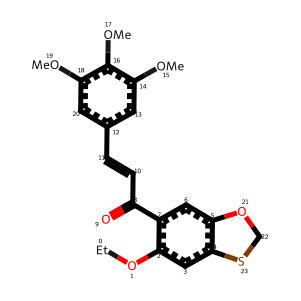 CCOc1cc2c(cc1C(=O)C=Cc1cc(OC)c(OC)c(OC)c1)OCS2